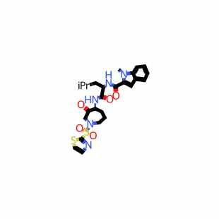 CC(C)CC(NC(=O)c1cc2ccccc2n1C)C(=O)N[C@H]1CCCN(S(=O)(=O)c2nccs2)CC1=O